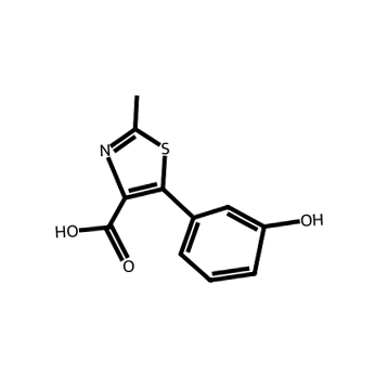 Cc1nc(C(=O)O)c(-c2cccc(O)c2)s1